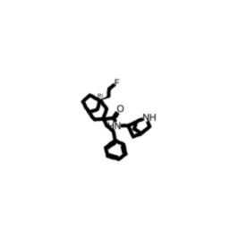 O=C(NC1CC2CNC1C2)C1(CCc2ccccc2)CC2CC[C@@](CCF)(C2)C1